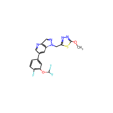 COc1nnc(Cn2ncc3ncc(-c4ccc(F)c(OC(F)F)c4)cc32)s1